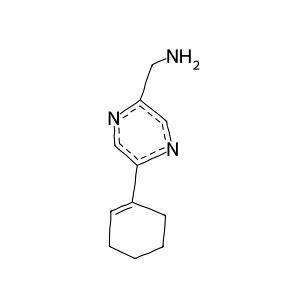 NCc1cnc(C2=CCCCC2)cn1